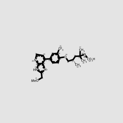 COCc1nc2c(-c3ccc(OC[C@@H](C)CC(C)(C)NC(=O)O)c(C(F)(F)F)c3)ccnc2[nH]1